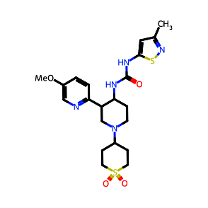 COc1ccc(C2CN(C3CCS(=O)(=O)CC3)CCC2NC(=O)Nc2cc(C)ns2)nc1